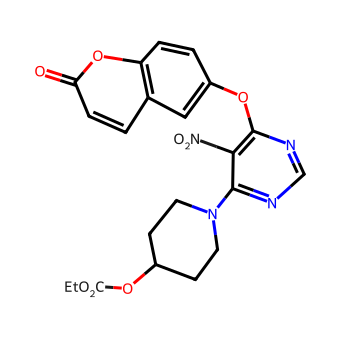 CCOC(=O)OC1CCN(c2ncnc(Oc3ccc4oc(=O)ccc4c3)c2[N+](=O)[O-])CC1